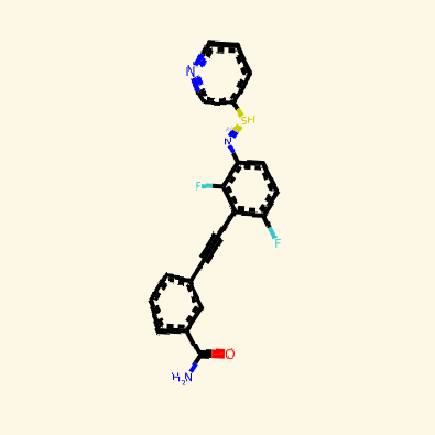 NC(=O)c1cccc(C#Cc2c(F)ccc(/N=[SH]/c3cccnc3)c2F)c1